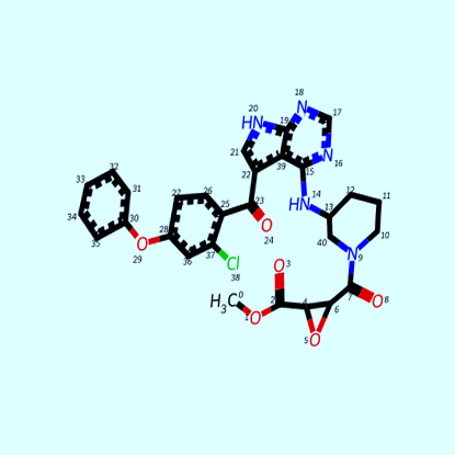 COC(=O)C1OC1C(=O)N1CCCC(Nc2ncnc3[nH]cc(C(=O)c4ccc(Oc5ccccc5)cc4Cl)c23)C1